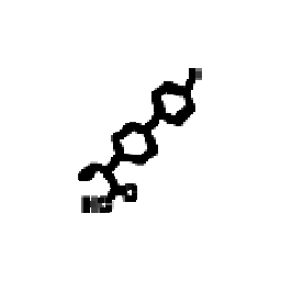 C=CC(C(=O)O)C1CCC(c2ccc(F)cc2)CC1